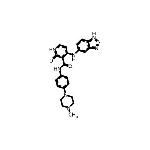 CN1CCN(c2ccc(NC(=O)c3c(Nc4ccc5[nH]nnc5c4)cc[nH]c3=O)cc2)CC1